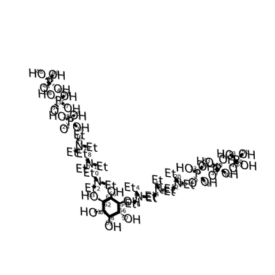 CCN(CC)CC.CCN(CC)CC.CCN(CC)CC.CCN(CC)CC.CCN(CC)CC.CCN(CC)CC.O=P(O)(O)O.O=P(O)(O)O.O=P(O)(O)O.O=P(O)(O)O.O=P(O)(O)O.O=P(O)(O)O.O[C@H]1[C@H](O)[C@@H](O)[C@H](O)[C@@H](O)[C@@H]1O